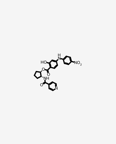 O=C(N[C@@H]1CCC[C@H]1OC(=O)c1ccc(Nc2ccc([N+](=O)[O-])cc2)cc1O)c1ccncc1